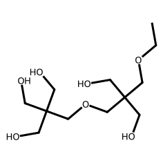 CCOCC(CO)(CO)COCC(CO)(CO)CO